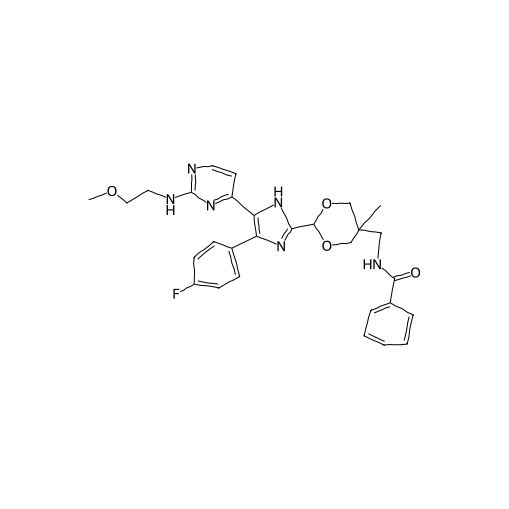 COCCNc1nccc(-c2[nH]c(C3OCC(C)(CNC(=O)c4ccccc4)CO3)nc2-c2ccc(F)cc2)n1